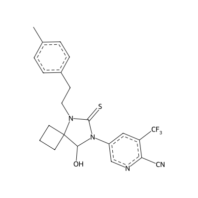 Cc1ccc(CCN2C(=S)N(c3cnc(C#N)c(C(F)(F)F)c3)C(O)C23CCC3)cc1